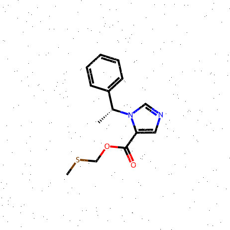 CSCOC(=O)c1cncn1[C@H](C)c1ccccc1